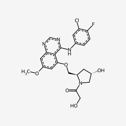 COc1cc(OC[C@H]2C[C@H](O)CN2C(=O)CO)c2c(Nc3ccc(F)c(Cl)c3)ncnc2c1